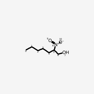 CCCCCC(CO)[N+](=O)[O-]